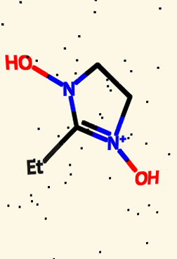 CCC1=[N+](O)CCN1O